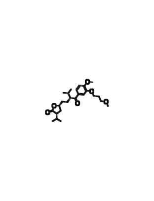 COCCCOc1cc(C(=O)[C@@H](CC[C@H]2C[C@@H](C(C)C)C(=O)O2)C(C)C)ccc1OC